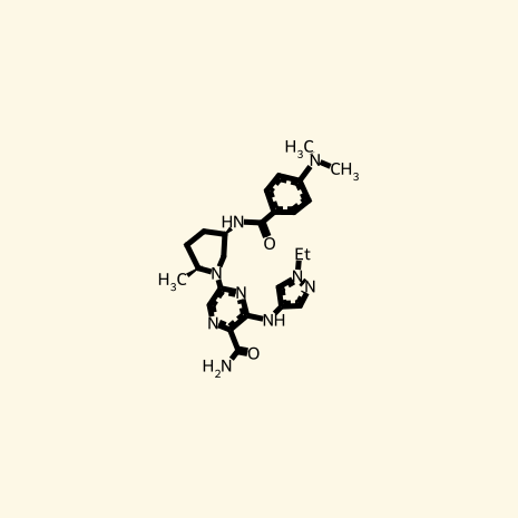 CCn1cc(Nc2nc(N3C[C@H](NC(=O)c4ccc(N(C)C)cc4)CC[C@@H]3C)cnc2C(N)=O)cn1